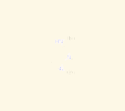 CC(C)(C)Nc1cnc2c(c1)CCN2C(C)(C)C